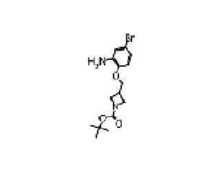 CC(C)(C)OC(=O)N1CC(COc2ccc(Br)cc2N)C1